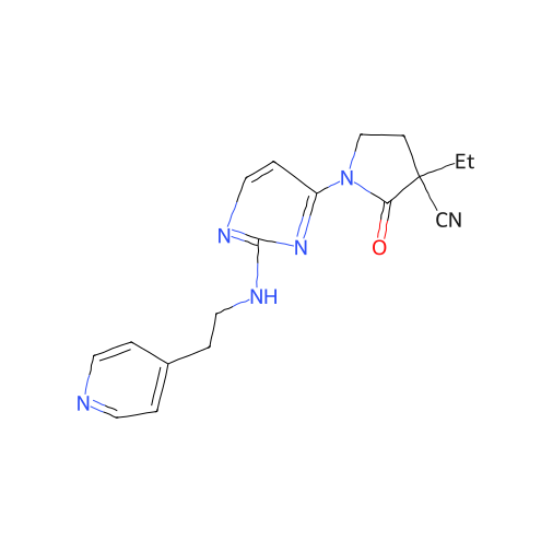 CCC1(C#N)CCN(c2ccnc(NCCc3ccncc3)n2)C1=O